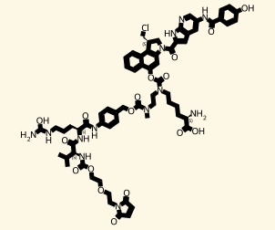 CC(C)[C@H](NC(=O)OCCOCCN1C(=O)C=CC1=O)C(=O)N[C@@H](CCCNC(N)O)C(=O)Nc1ccc(COC(=O)N(C)CCN(CCCC[C@H](N)C(=O)O)C(=O)Oc2cc3c(c4ccccc24)[C@H](CCl)CN3C(=O)c2cc3cc(NC(=O)c4ccc(O)cc4)cnc3[nH]2)cc1